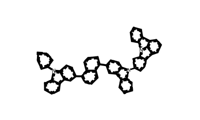 c1ccc(-n2c3ccccc3c3cc(-c4cccc5c(-c6ccc7c(c6)c6ccccc6n7-c6ccc7c8cccc9c%10ccccc%10n(c7c6)c98)cccc45)ccc32)cc1